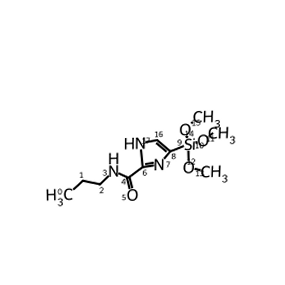 CCCNC(=O)c1nc([Si](OC)(OC)OC)c[nH]1